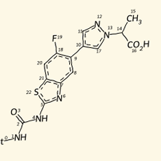 CCNC(=O)Nc1nc2cc(-c3cnn(C(C)C(=O)O)c3)c(F)cc2s1